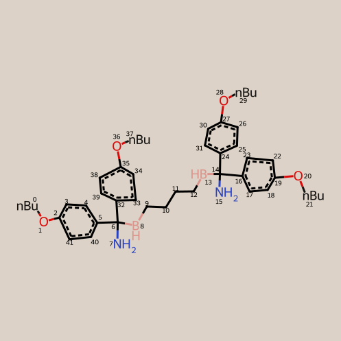 CCCCOc1ccc(C(N)(BCCCCBC(N)(c2ccc(OCCCC)cc2)c2ccc(OCCCC)cc2)c2ccc(OCCCC)cc2)cc1